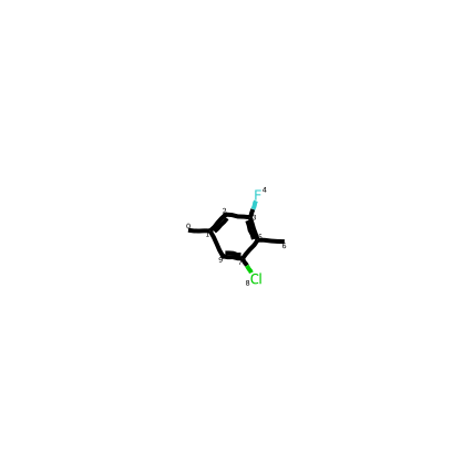 Cc1cc(F)c(C)c(Cl)c1